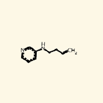 C=CCCNc1cccnc1